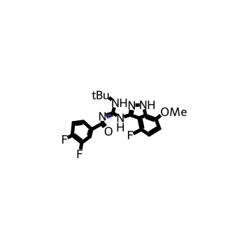 COc1ccc(F)c2c(N/C(=N\C(=O)c3ccc(F)c(F)c3)NC(C)(C)C)n[nH]c12